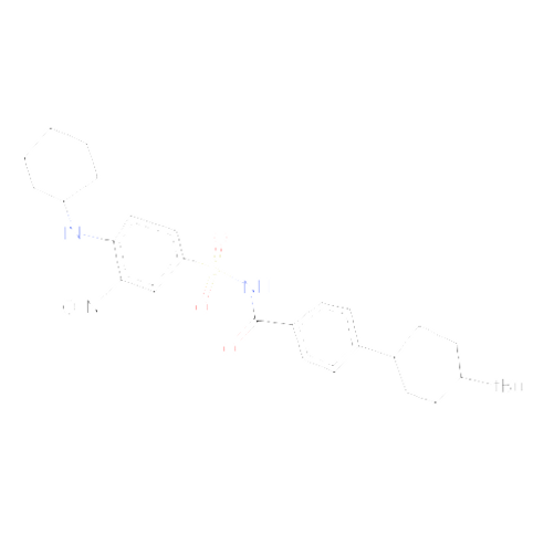 CC(C)(C)C1CCC(c2ccc(C(=O)NS(=O)(=O)c3ccc(NC4CCCCC4)c([N+](=O)[O-])c3)cc2)CC1